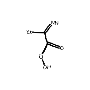 CCC(=N)C(=O)OO